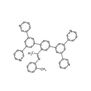 C/C(=N\c1ccccc1C)c1cc(-c2cc(-c3cccnc3)cc(-c3cccnc3)c2)ccc1-c1cc(-c2cccnc2)cc(-c2cccnc2)c1